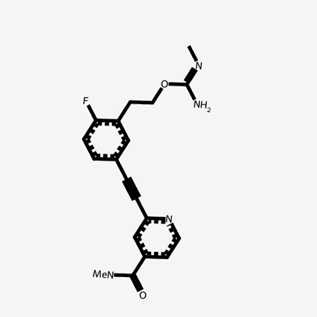 C/N=C(/N)OCCc1cc(C#Cc2cc(C(=O)NC)ccn2)ccc1F